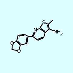 Cc1sc2nc(-c3ccc4c(c3)OCO4)ccc2c1N